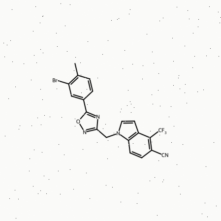 Cc1ccc(-c2nc(Cn3ccc4c(C(F)(F)F)c(C#N)ccc43)no2)cc1Br